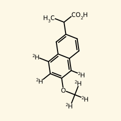 [2H]c1c(OC([2H])([2H])[2H])c([2H])c2ccc(C(C)C(=O)O)cc2c1[2H]